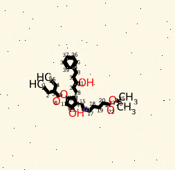 C#CCC(CC#C)C(=O)O[C@@H]1C[C@H](O)[C@H](C/C=C\CCCC(=O)OC(C)C)[C@H]1CC[C@@H](O)CCc1ccccc1